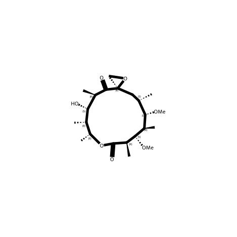 CO[C@@H]1[C@@H](C)[C@H](OC)[C@@H](C)C(=O)O[C@H](C)[C@H](C)[C@H](O)[C@@H](C)C(=O)[C@]2(CO2)C[C@@H]1C